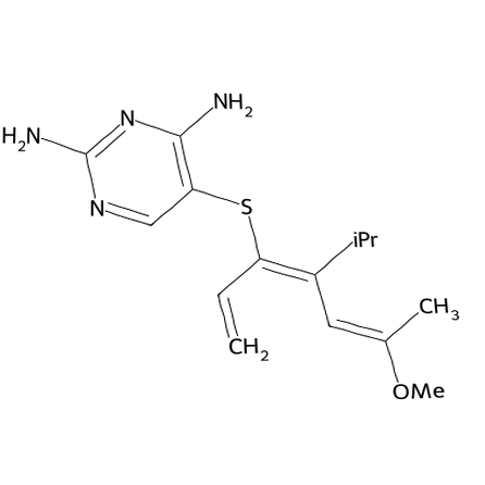 C=C/C(Sc1cnc(N)nc1N)=C(\C=C(/C)OC)C(C)C